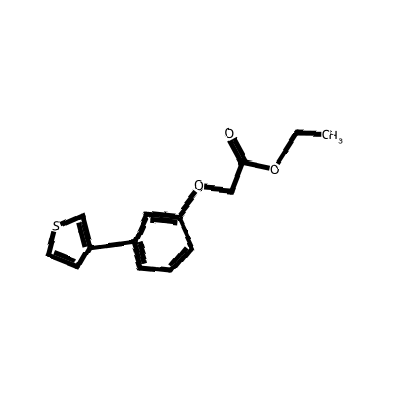 CCOC(=O)COc1cccc(-c2ccsc2)c1